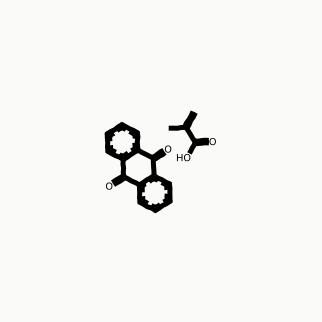 C=C(C)C(=O)O.O=C1c2ccccc2C(=O)c2ccccc21